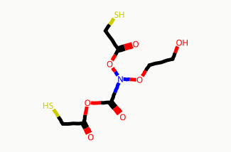 O=C(CS)OC(=O)N(OCCO)OC(=O)CS